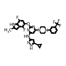 Cc1cc2c(F)c(Oc3nc(Nc4cc(C5CC5)[nH]n4)cc(N4CCN(c5cccc(C(F)(F)F)c5)CC4)n3)cc(F)c2[nH]1